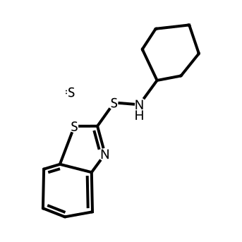 [S].c1ccc2sc(SNC3CCCCC3)nc2c1